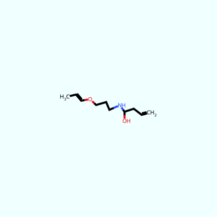 C=CCC(O)NCCCO/C=C/C